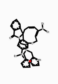 CCN(CC)C1=C\COc2cc(N(CC)CC)ccc2C2(C/C=C\1)c1ccccc1C(=O)N2CCN(Cc1ccc[nH]1)Cc1ccc[nH]1